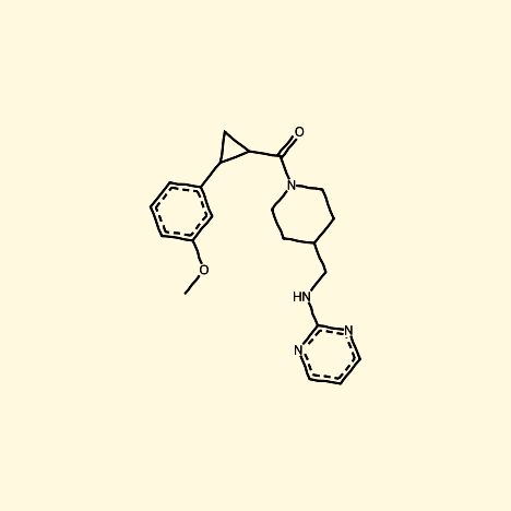 COc1cccc(C2CC2C(=O)N2CCC(CNc3ncccn3)CC2)c1